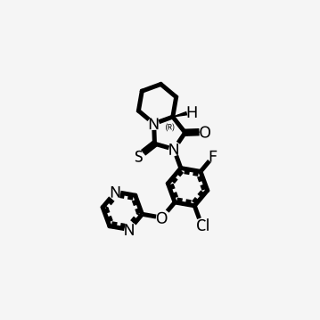 O=C1[C@H]2CCCCN2C(=S)N1c1cc(Oc2cnccn2)c(Cl)cc1F